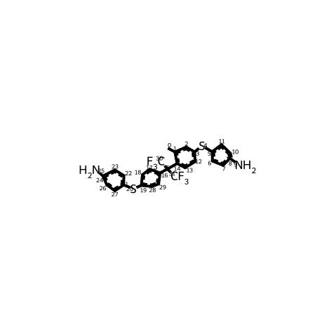 Cc1cc(Sc2ccc(N)cc2)ccc1C(c1ccc(Sc2ccc(N)cc2)cc1)(C(F)(F)F)C(F)(F)F